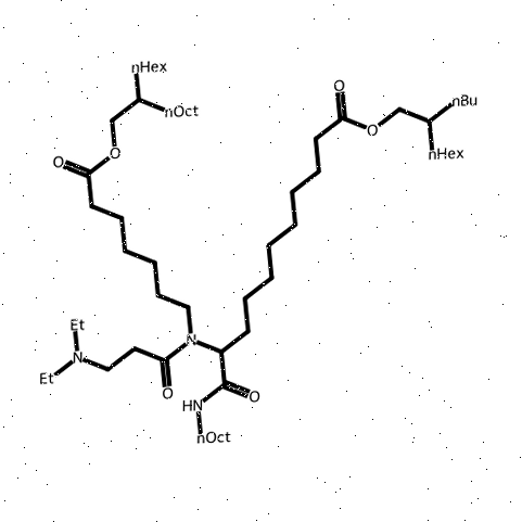 CCCCCCCCNC(=O)C(CCCCCCCCC(=O)OCC(CCCC)CCCCCC)N(CCCCCCC(=O)OCC(CCCCCC)CCCCCCCC)C(=O)CCN(CC)CC